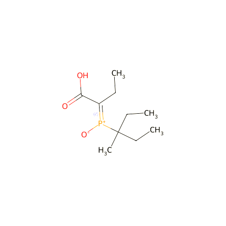 CC/C(C(=O)O)=[P+](/[O-])C(C)(CC)CC